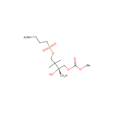 CCC(C)OC(=O)OC[C@@](O)(C(=O)O)C(C)(C)COS(=O)(=O)CCCNC(C)=O